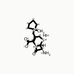 C[N+]1(CC2=C(C(=O)[O-])N3C(=O)[C@@H](N)[C@H]3SC2)CCCC1.I